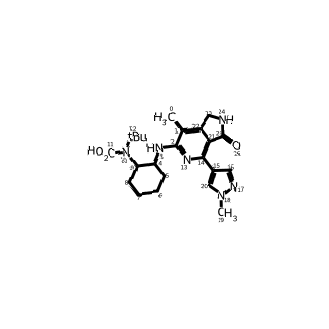 Cc1c(NC2CCCCC2N(C(=O)O)C(C)(C)C)nc(-c2cnn(C)c2)c2c1CNC2=O